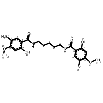 Bc1cc(C(=O)NCCCCCNC(=O)c2cc(Br)c(OC)cc2O)c(O)cc1OC